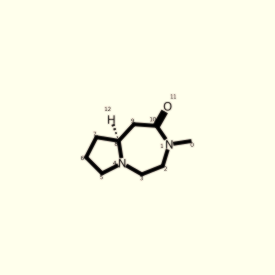 CN1CCN2CCC[C@H]2CC1=O